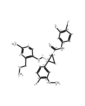 COCc1nc(C)ncc1OC[C@@]1(c2ccc(F)c(OC)c2)C[C@H]1C(=O)Nc1ccc(F)c(F)c1